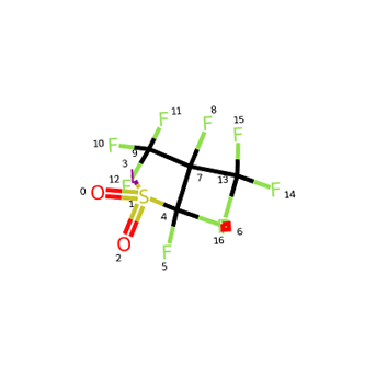 O=S(=O)(I)C(F)(F)C(F)(C(F)(F)F)C(F)(F)F